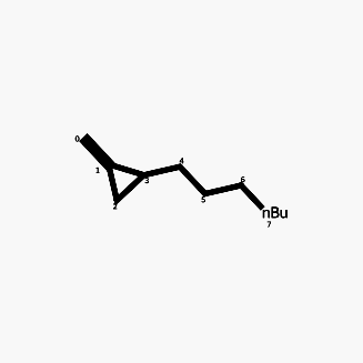 C=C1CC1CCCCCCC